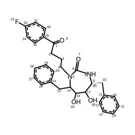 O=C(CCCN1C(=O)N[C@H](Cc2ccccc2)C(O)C(O)C1Cc1ccccc1)c1ccc(F)cc1